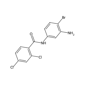 Nc1cc(NC(=O)c2ccc(Cl)cc2Cl)ccc1Br